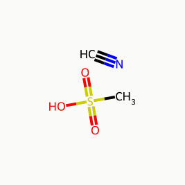 C#N.CS(=O)(=O)O